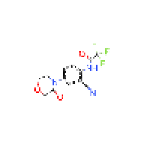 N#Cc1cc(N2CCOCC2=O)ccc1NC(=O)C(F)(F)F